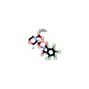 C[C@@H]1OCCN(C(=O)OC(C)(C)C)[C@H]1C(=O)ON1C(=O)c2c(Cl)c(Cl)c(Cl)c(Cl)c2C1=O